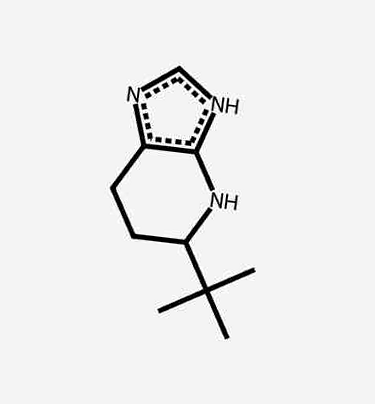 CC(C)(C)C1CCc2nc[nH]c2N1